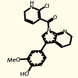 COc1cc(-c2cn(C(=O)C3=C(Cl)NCC=C3)c3c2=CCCN=3)ccc1O